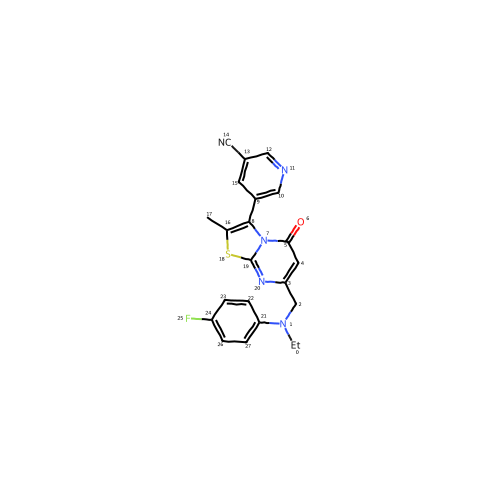 CCN(Cc1cc(=O)n2c(-c3cncc(C#N)c3)c(C)sc2n1)c1ccc(F)cc1